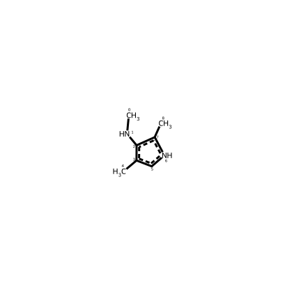 CNc1c(C)c[nH]c1C